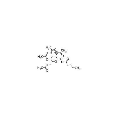 CCCCC(=O)OO[C@H]1O[C@H](COC(C)=O)[C@H](OC(C)=O)[C@H](OC(C)=O)[C@H]1NC(C)=O